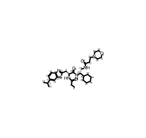 CCC(=O)N[C@@H](Cc1nc2ccc(C(C)C)cc2s1)C(=O)N[C@H](CNC(=O)CCN1CCOCC1)C1CCCCC1